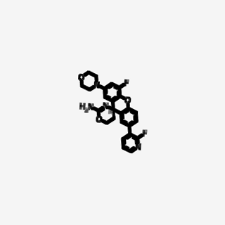 NC1=N[C@@]2(CCO1)c1cc(-c3cccnc3F)ccc1Oc1c(F)cc(N3CCOCC3)cc12